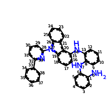 Nc1ccccc1Nc1ccccc1Nc1cccc2c1c1ccccc1n2-c1cccc(-c2ccccc2)n1